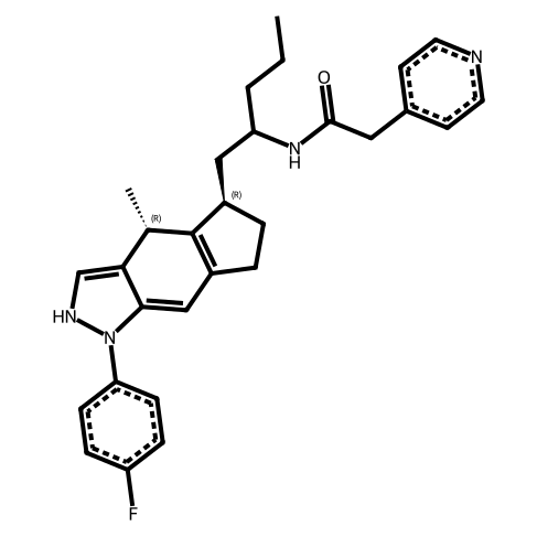 CCCC(C[C@H]1CCC2=C1[C@@H](C)C1=CNN(c3ccc(F)cc3)C1=C2)NC(=O)Cc1ccncc1